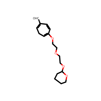 O=CC1=CCC=C(OCCOCCOC2CCCCO2)C=C1